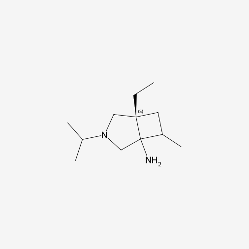 CC[C@@]12CC(C)C1(N)CN(C(C)C)C2